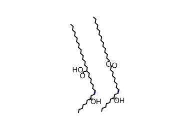 CCCCCCCCCCCCCCCCC(CCCCCC/C=C\C[C@H](O)CCCCCC)C(=O)O.CCCCCCCCCCCCCCCCOC(=O)CCCCCCC/C=C\C[C@H](O)CCCCCC